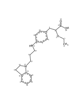 CCOC(Cc1ccc(NCCCN2CCc3ccccc32)cc1)C(=O)O